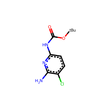 CC(C)(C)OC(=O)Nc1ccc(Cl)c(N)n1